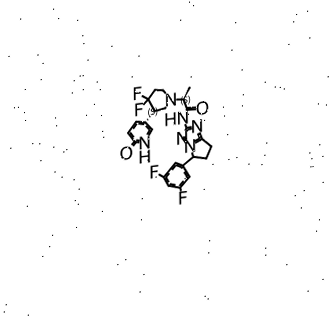 C[C@@H](C(=O)Nc1nc2n(n1)C(c1cc(F)cc(F)c1)CC2)N1CCC(F)(F)[C@@H](c2ccc(=O)[nH]c2)C1